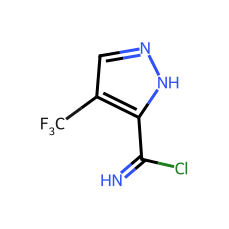 N=C(Cl)c1[nH]ncc1C(F)(F)F